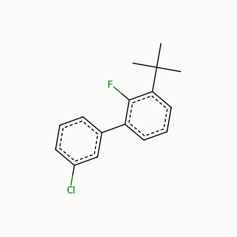 CC(C)(C)c1cccc(-c2cccc(Cl)c2)c1F